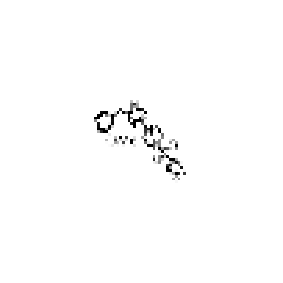 COc1cccc(Cc2nsc(N3CCN(S(=O)(=O)c4cnoc4)CC3)n2)c1